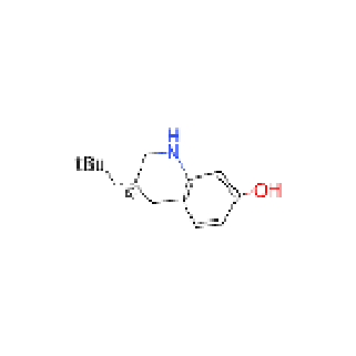 CC(C)(C)C[C@@H]1CNc2cc(O)ccc2C1